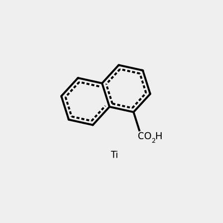 O=C(O)c1cccc2ccccc12.[Ti]